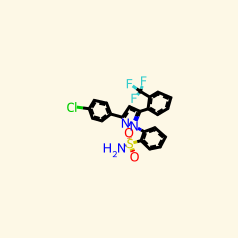 NS(=O)(=O)c1ccccc1-n1nc(-c2ccc(Cl)cc2)cc1-c1ccccc1C(F)(F)F